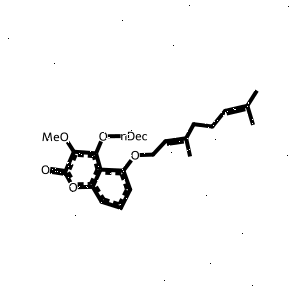 CCCCCCCCCCOc1c(OC)c(=O)oc2cccc(OC/C=C(\C)CCC=C(C)C)c12